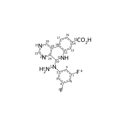 NN(c1cc(F)cc(F)c1)C1Nc2cc(C(=O)O)ccc2-c2cncnc21